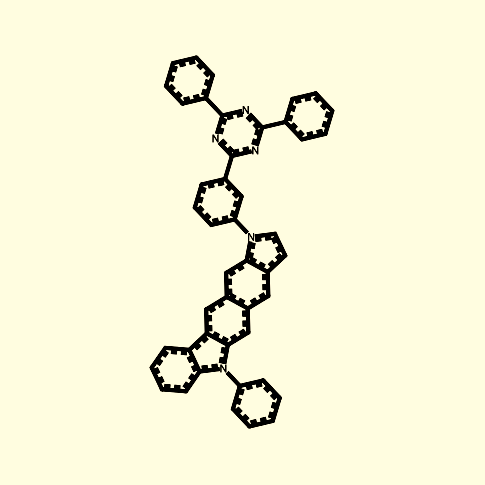 c1ccc(-c2nc(-c3ccccc3)nc(-c3cccc(-n4ccc5cc6cc7c(cc6cc54)c4ccccc4n7-c4ccccc4)c3)n2)cc1